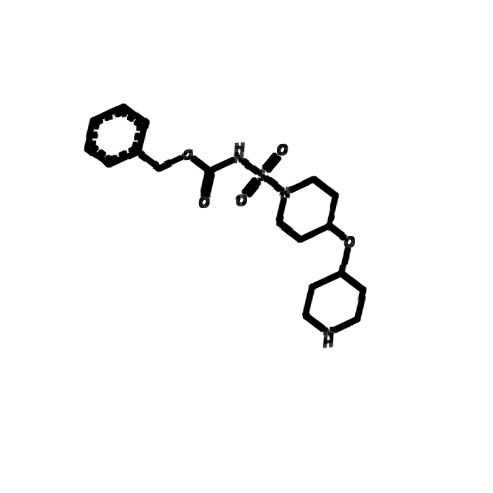 O=C(NS(=O)(=O)N1CCC(OC2CCNCC2)CC1)OCc1ccccc1